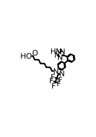 O=C(O)CCCCCCCn1c(C(F)(F)C(F)(F)F)nc2cc(-c3ccccc3-c3nn[nH]n3)ccc21